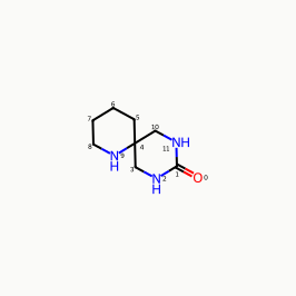 O=C1NCC2(CCCCN2)CN1